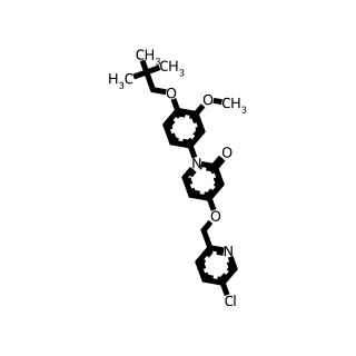 COc1cc(-n2ccc(OCc3ccc(Cl)cn3)cc2=O)ccc1OCC(C)(C)C